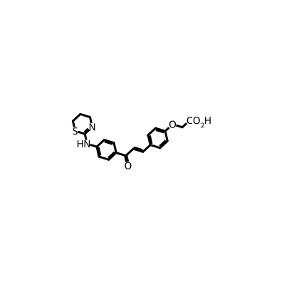 O=C(O)COc1ccc(/C=C/C(=O)c2ccc(NC3=NCCCS3)cc2)cc1